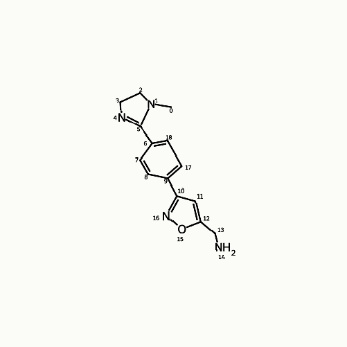 CN1CCN=C1c1ccc(-c2cc(CN)on2)cc1